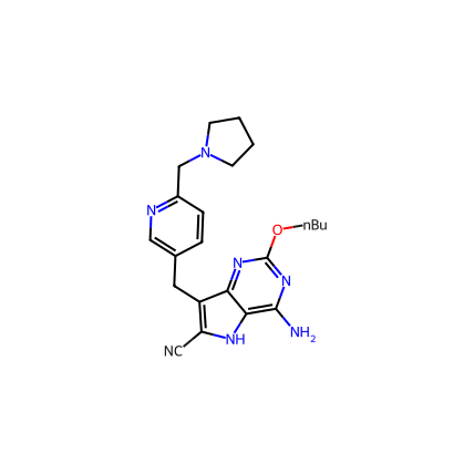 CCCCOc1nc(N)c2[nH]c(C#N)c(Cc3ccc(CN4CCCC4)nc3)c2n1